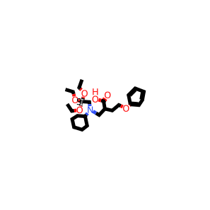 CCO[Si](CN(CC(CCOc1ccccc1)C(=O)O)C1CCCCC1)(OCC)OCC